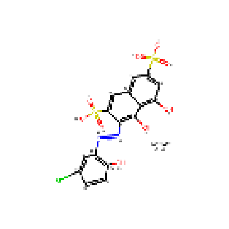 O=S(=O)([O-])c1cc(O)c2c(O)c(/N=N/c3cc(Cl)ccc3O)c(S(=O)(=O)[O-])cc2c1.[Na+].[Na+]